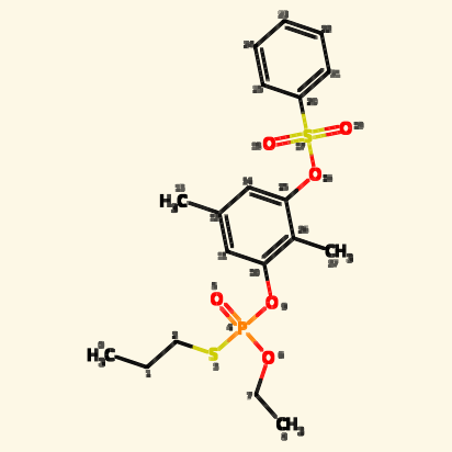 CCCSP(=O)(OCC)Oc1cc(C)cc(OS(=O)(=O)c2ccccc2)c1C